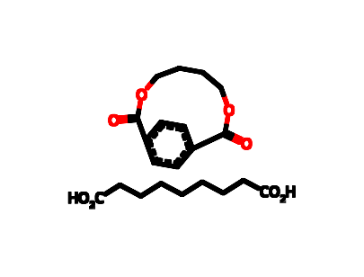 O=C(O)CCCCCCCC(=O)O.O=C1OCCCCOC(=O)c2ccc1cc2